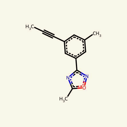 CC#Cc1cc(C)cc(-c2noc(C)n2)c1